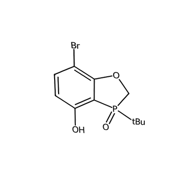 CC(C)(C)P1(=O)COc2c(Br)ccc(O)c21